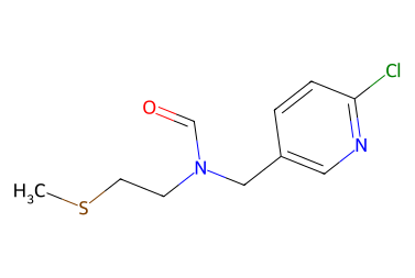 CSCCN(C=O)Cc1ccc(Cl)nc1